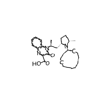 C[C@H]1CC[C@@H](C[C@H](C)n2c(=O)c(C(=O)O)nc3ccccc32)N1C1CCCCCCCCCC1